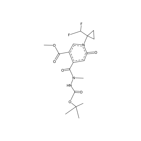 COC(=O)c1cn(C2(C(F)F)CC2)c(=O)cc1C(=O)N(C)NC(=O)OC(C)(C)C